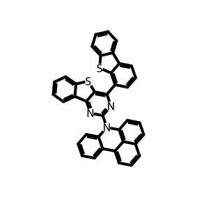 c1ccc2c(c1)-c1cccc3cccc(c13)N2c1nc(-c2cccc3c2sc2ccccc23)c2sc3ccccc3c2n1